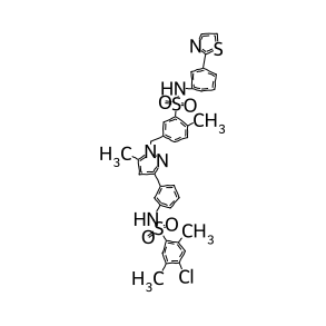 Cc1cc(S(=O)(=O)Nc2cccc(-c3cc(C)n(Cc4ccc(C)c(S(=O)(=O)Nc5cccc(-c6nccs6)c5)c4)n3)c2)c(C)cc1Cl